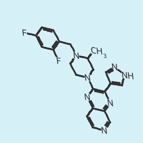 CC1CN(c2nc3ccncc3nc2-c2cn[nH]c2)CCN1Cc1ccc(F)cc1F